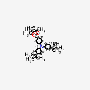 CC1(C)OB(c2ccc(N(c3ccc([Si](C)(C)C)cc3)c3ccc([Si](C)(C)C)cc3)cc2)OC1(C)C